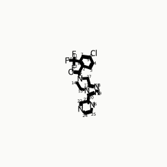 O=C(c1ccc(Cl)cc1C(F)(F)F)N1CCn2c(nnc2-c2cnccn2)C1